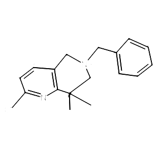 CC1(C)CN(Cc2ccccc2)Cc2ccc(Cl)nc21